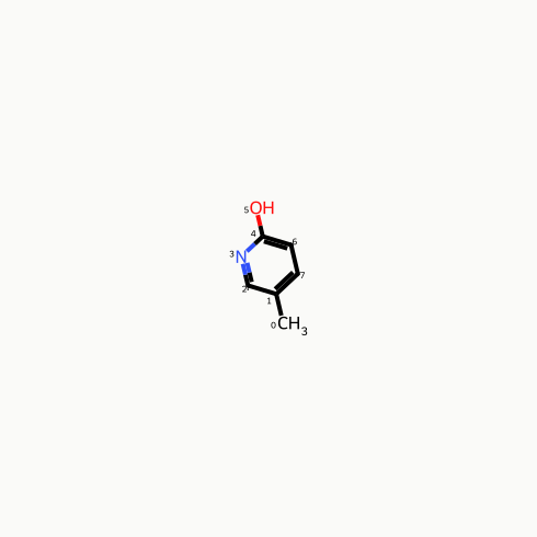 Cc1[c]nc(O)cc1